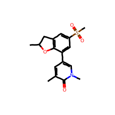 Cc1cc(-c2cc(S(C)(=O)=O)cc3c2OC(C)C3)cn(C)c1=O